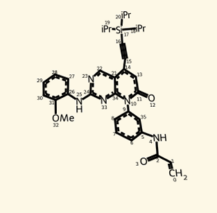 C=CC(=O)Nc1cccc(-n2c(=O)cc(C#C[Si](C(C)C)(C(C)C)C(C)C)c3cnc(Nc4ccccc4OC)nc32)c1